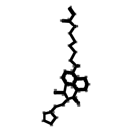 C=CC(=O)OCCCCCNc1ccc2c3c(cccc13)C(=O)N(CCN1CCCC1)C2=O